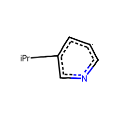 CC(C)c1c[c]cnc1